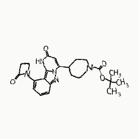 CC(C)(C)OC(=O)N1CCC(c2cc(=O)[nH]c3c4c(N5CCC5=O)cccc4nn23)CC1